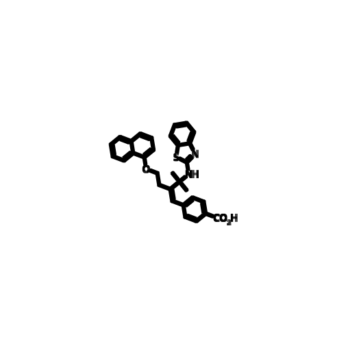 CC(C)(Nc1nc2ccccc2s1)C(=Cc1ccc(C(=O)O)cc1)CCOc1cccc2ccccc12